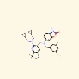 Cc1cc(CN(Cc2cc3c(nc2N(CC2CC2)CC2CC2)C(C)(C)CC3)c2ccc3[nH]c(=O)oc3c2)cc(C(F)(F)F)c1